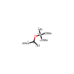 CCCCCCC(CC)O[Si](CCC)(OC)OC